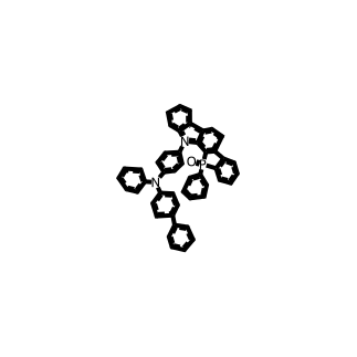 O=P1(c2ccccc2)c2ccccc2-c2ccc3c4ccccc4n(-c4ccc(N(c5ccccc5)c5ccc(-c6ccccc6)cc5)cc4)c3c21